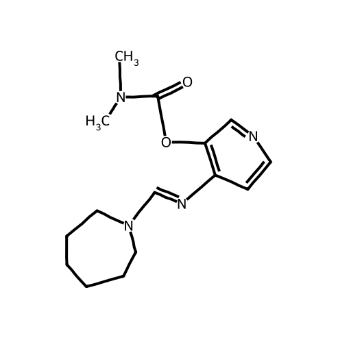 CN(C)C(=O)Oc1cnccc1/N=C/N1CCCCCC1